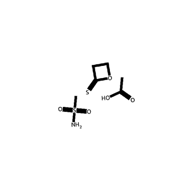 CC(=O)O.CS(N)(=O)=O.S=C1CCO1